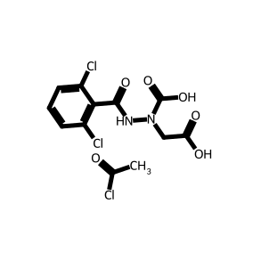 CC(=O)Cl.O=C(O)CN(NC(=O)c1c(Cl)cccc1Cl)C(=O)O